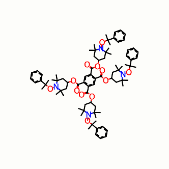 CC(C)(ON1C(C)(C)CC(OC(=O)c2cc(C(=O)OC3CC(C)(C)N(OC(C)(C)c4ccccc4)C(C)(C)C3)c(C(=O)OC3CC(C)(C)N(OC(C)(C)c4ccccc4)C(C)(C)C3)cc2C(=O)OC2CC(C)(C)N(OC(C)(C)c3ccccc3)C(C)(C)C2)CC1(C)C)c1ccccc1